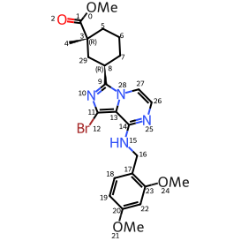 COC(=O)[C@]1(C)CCC[C@@H](c2nc(Br)c3c(NCc4ccc(OC)cc4OC)nccn23)C1